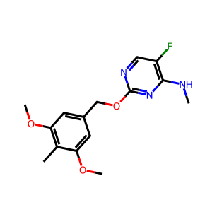 CNc1nc(OCc2cc(OC)c(C)c(OC)c2)ncc1F